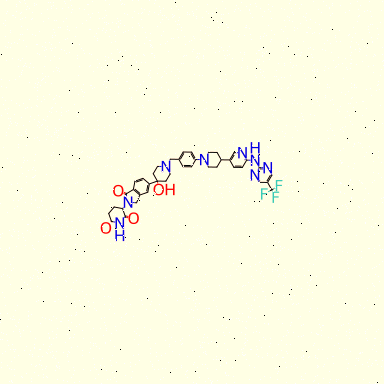 O=C1CCC(N2Cc3cc(C4(O)CCN(Cc5ccc(N6CCC(c7ccc(Nc8ncc(C(F)(F)F)cn8)nc7)CC6)cc5)CC4)ccc3C2=O)C(=O)N1